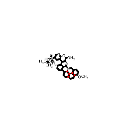 COc1ccc(CN(Cc2ccccc2)c2nc(C(N)=O)c(-c3cncc(S(=O)(=O)NC(C)(C)C)c3)c3cccc(-c4ccccc4)c23)cc1